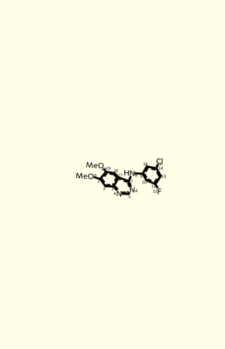 COc1cc2ncnc(Nc3cc(F)cc(Cl)c3)c2cc1OC